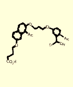 CCC(O)c1cc(OCCCOc2ccc3ccc(OCCCC(=O)O)cc3c2C(C)=O)ccc1C(C)=O